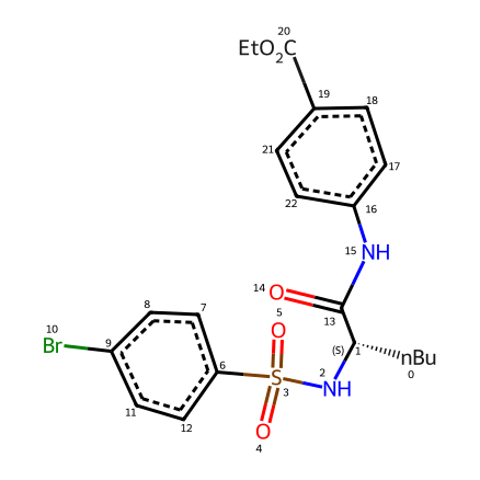 CCCC[C@H](NS(=O)(=O)c1ccc(Br)cc1)C(=O)Nc1ccc(C(=O)OCC)cc1